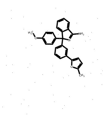 COc1ccc(C2(c3cccc(-c4ccc(C)o4)c3)N=C(N)c3ccccc32)cc1